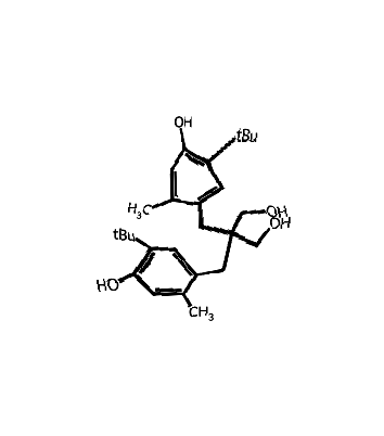 Cc1cc(O)c(C(C)(C)C)cc1CC(CO)(CO)Cc1cc(C(C)(C)C)c(O)cc1C